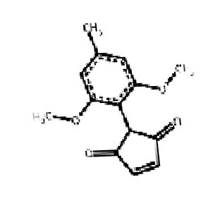 COc1cc(C)cc(OC)c1C1C(=O)C=CC1=O